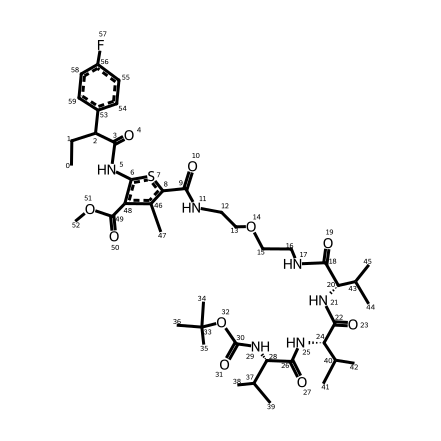 CCC(C(=O)Nc1sc(C(=O)NCCOCCNC(=O)[C@@H](NC(=O)[C@@H](NC(=O)[C@@H](NC(=O)OC(C)(C)C)C(C)C)C(C)C)C(C)C)c(C)c1C(=O)OC)c1ccc(F)cc1